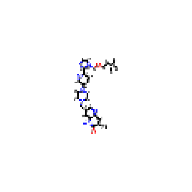 CCc1cc2ncc(CN3CCN(c4ccc(-c5nccn5COCC[Si](C)(C)C)nc4)CC3)cc2[nH]c1=O